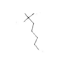 CCCCCCCCCCCCCCC(C)(CCCCCCCCCC)C(=O)O